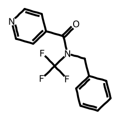 O=C(c1ccncc1)N(Cc1ccccc1)C(F)(F)F